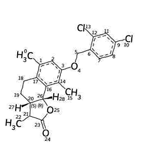 Cc1cc(OCc2ccc(Cl)cc2Cl)c(C)c2c1CC[C@H]1C(C)C(=O)O[C@@H]21